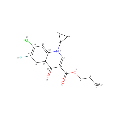 COCCOC(=O)C1=CN(C2CC2)C2=CC(Cl)=C(F)CC2C1=O